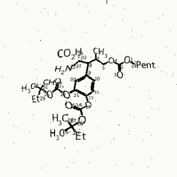 CCCC(C)OC(=O)OCC(C)C(c1ccc(OC(=O)OC(C)(C)CC)c(OC(=O)OC(C)(C)CC)c1)[C@H](N)C(=O)O